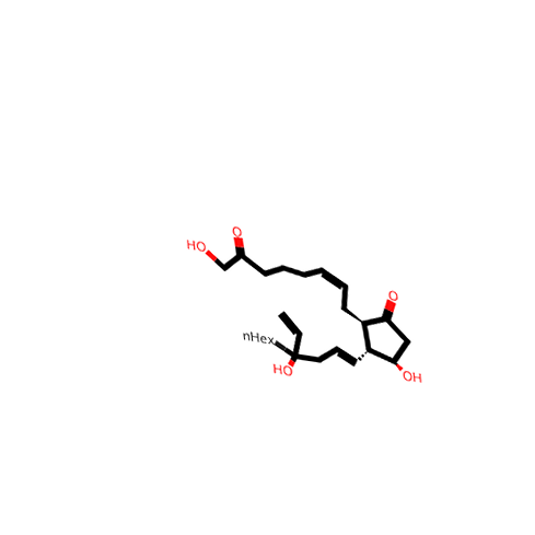 C=CC(O)(C/C=C/[C@H]1[C@H](O)CC(=O)[C@@H]1C/C=C\CCCC(=O)CO)CCCCCC